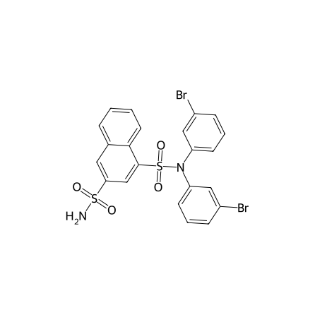 NS(=O)(=O)c1cc(S(=O)(=O)N(c2cccc(Br)c2)c2cccc(Br)c2)c2ccccc2c1